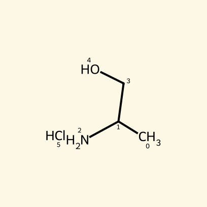 CC(N)CO.Cl